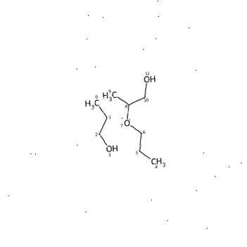 CCCO.CCCOC(C)CO